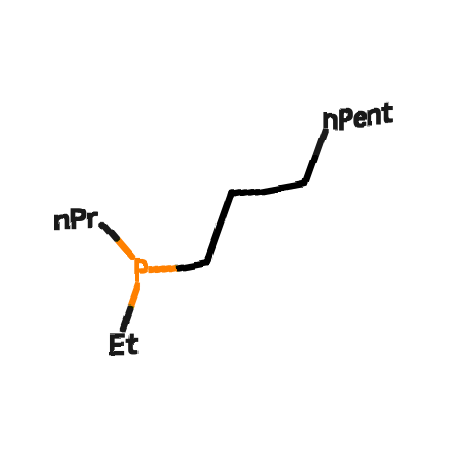 CCCCCCCCP(CC)CCC